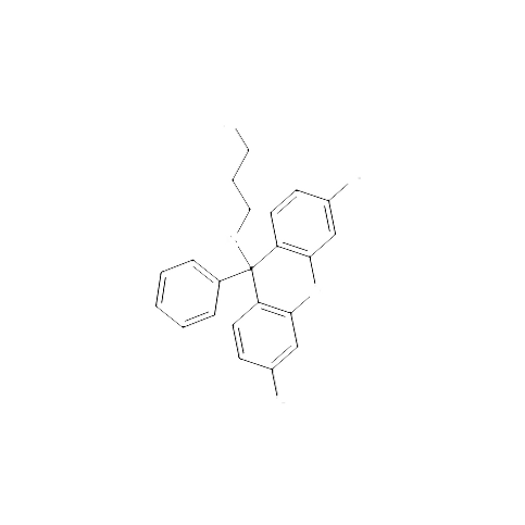 CCCCNC1(c2ccccc2)c2ccc(O)cc2Oc2cc(O)ccc21